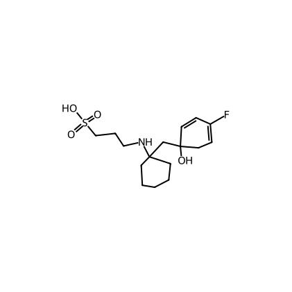 O=S(=O)(O)CCCNC1(CC2(O)C=CC(F)=CC2)CCCCC1